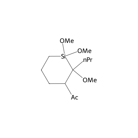 CCCC1(OC)C(C(C)=O)CCC[Si]1(OC)OC